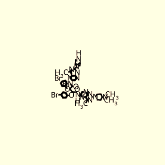 Cc1nc(N2CCC(N(C)C)CC2)nc2ncc(NC(=O)C(Oc3ccc(Br)cc3)C(Oc3ccc(Br)cc3)C(=O)Nc3cnc4nc(N5CC6CC5CN6)nc(C)c4n3)nc12